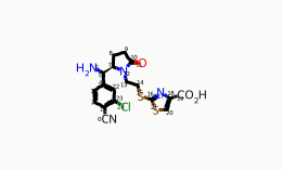 N#Cc1ccc(C(N)[C@H]2CCC(=O)N2CCSc2nc(C(=O)O)cs2)cc1Cl